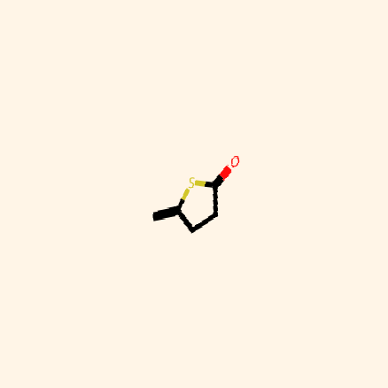 C=C1CCC(=O)S1